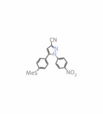 CSc1ccc(-c2cc(C#N)nn2-c2ccc([N+](=O)[O-])cc2)cc1